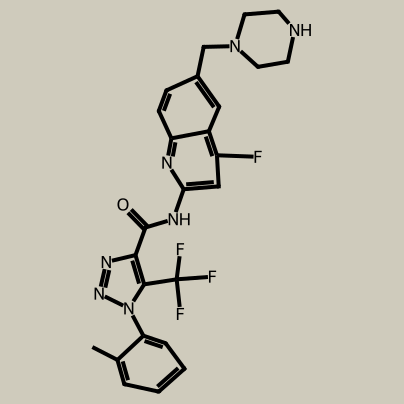 Cc1ccccc1-n1nnc(C(=O)Nc2cc(F)c3cc(CN4CCNCC4)ccc3n2)c1C(F)(F)F